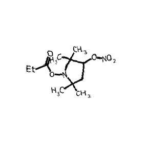 CCC(=O)ON1C(C)(C)CC(O[N+](=O)[O-])C1(C)C